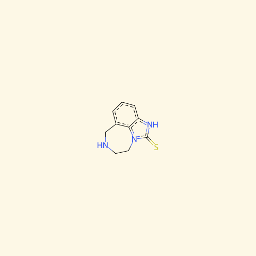 S=c1[nH]c2cccc3c2n1CCNC3